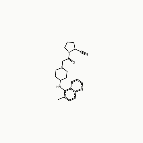 Cc1ccc2ncccc2c1NC1CCN(CC(=O)N2CCCC2C#N)CC1